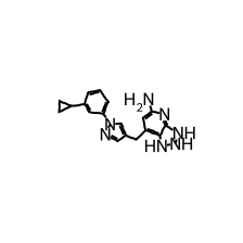 Nc1cc(Cc2cnn(-c3cccc(C4CC4)c3)c2)c2c(n1)NNN2